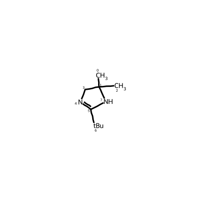 CC1(C)CN=C(C(C)(C)C)N1